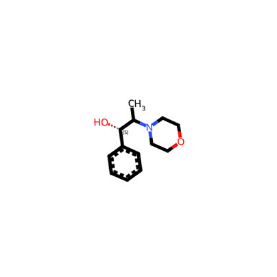 CC([C@@H](O)c1ccccc1)N1CCOCC1